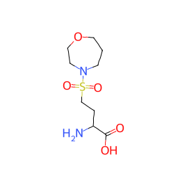 NC(CCS(=O)(=O)N1CCCOCC1)C(=O)O